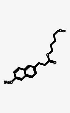 CCCCCCCCCCCCCCOC(=O)CCc1ccc2cc(OC)ccc2c1